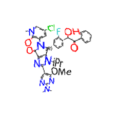 COc1nc(N(C)C)ncc1-c1nc2c(n1C(C)C)[C@@H](c1ccc(C(O)C(=O)c3ccccc3)c(F)c1)N(c1cc(Cl)cn(C)c1=O)C2=O